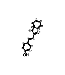 Oc1ccc(C=Cc2nc3ccccc3[nH]2)cc1